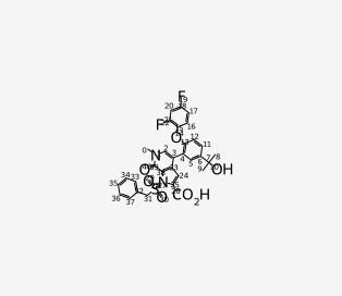 Cn1cc(-c2cc(C(C)(C)O)ccc2Oc2ccc(F)cc2F)c2cc(C(=O)O)n(S(=O)(=O)Cc3ccccc3)c2c1=O